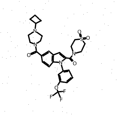 O=C(c1ccc2c(c1)cc(C(=O)N1CCS(=O)(=O)CC1)n2-c1cccc(OC(F)(F)F)c1)N1CCN(C2CCC2)CC1